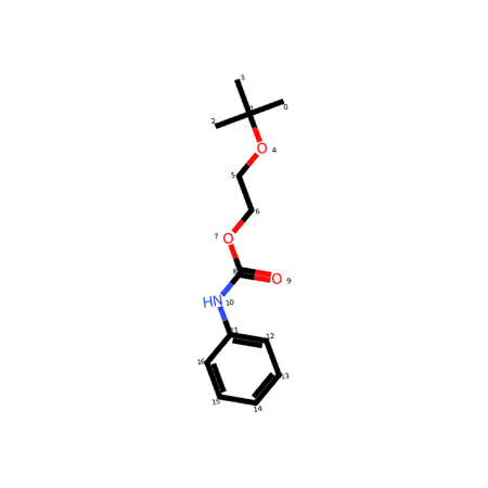 CC(C)(C)OCCOC(=O)Nc1ccccc1